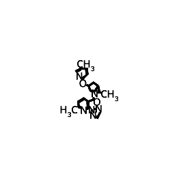 Cc1ccc(OC2CC3CC2N(C(=O)c2ccc(C)nc2-n2nccn2)C3C)nc1